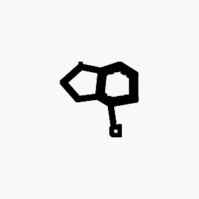 Clc1cccc2c1CC[CH]2